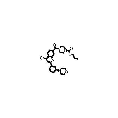 CCCOC(=O)N1CCN(C(=O)c2ccc3c(Cl)cc(-c4cccc(N5CCOCC5)c4)nc3c2)CC1